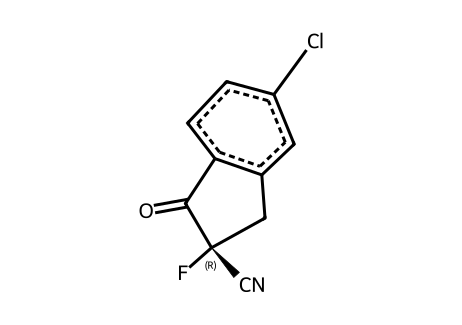 N#C[C@]1(F)Cc2cc(Cl)ccc2C1=O